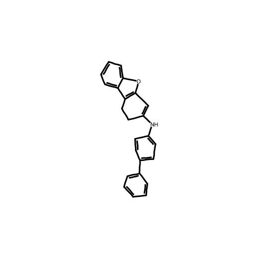 C1=C(Nc2ccc(-c3ccccc3)cc2)CCc2c1oc1ccccc21